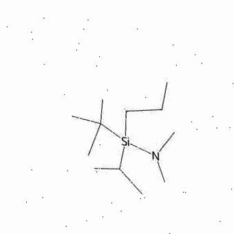 CCC[Si](C(C)C)(N(C)C)C(C)(C)C